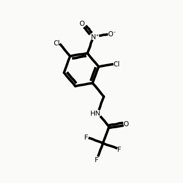 O=C(NCc1ccc(Cl)c([N+](=O)[O-])c1Cl)C(F)(F)F